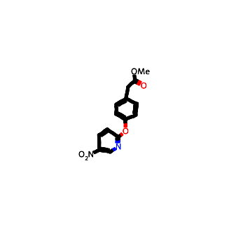 COC(=O)Cc1ccc(Oc2ccc([N+](=O)[O-])cn2)cc1